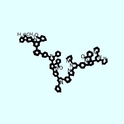 CC1(C)c2ccccc2-c2cc3c4cc(-c5cccc(-c6ccc(-c7cc(-c8ccc9c%10ccc(-c%11cc(-c%12ccccc%12)nc(-c%12cccc(-c%13ccc(-c%14cc(-c%15ccc%16c%17ccc(-c%18cc(-c%19ccccn%19)nc(-c%19ccccn%19)c%18)c%18c%19ccccc%19c(=O)n(c%16c%15)c%17%18)cc(-c%15ccccn%15)n%14)nc%13)c%12)c%11)cc%10n%10c(=O)c%11ccccc%11c8c9%10)cc(-c8ccccc8)n7)cc6)c5)cc5c6ccccc6c(=O)n(c3cc21)c54